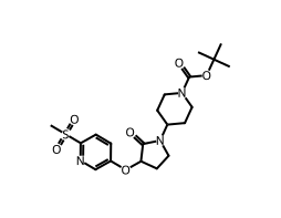 CC(C)(C)OC(=O)N1CCC(N2CCC(Oc3ccc(S(C)(=O)=O)nc3)C2=O)CC1